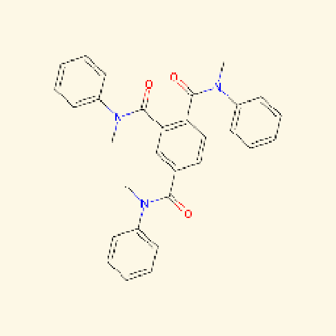 CN(C(=O)c1ccc(C(=O)N(C)c2ccccc2)c(C(=O)N(C)c2ccccc2)c1)c1ccccc1